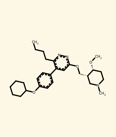 CCCCc1nnc(OC[C@H]2CN(C)CC[C@H]2OC)cc1-c1ccc(OC2CCCCC2)cc1